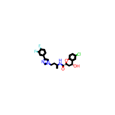 C=C(CCn1cnc(-c2ccc(F)c(F)c2)c1)NC(=O)[C@H]1C[C@@H](O)c2cc(Cl)ccc2O1